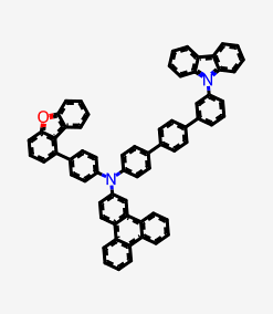 c1cc(-c2ccc(-c3ccc(N(c4ccc(-c5cccc6oc7ccccc7c56)cc4)c4ccc5c6ccccc6c6ccccc6c5c4)cc3)cc2)cc(-n2c3ccccc3c3ccccc32)c1